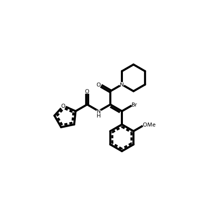 COc1ccccc1C(Br)=C(NC(=O)c1ccco1)C(=O)N1CCCCC1